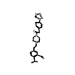 CC(C)c1ccc(CCN2CCN(C(=O)Cc3ccc(-n4cnnn4)cc3)CC2)cc1C#N